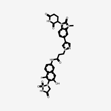 Cn1c(=O)n(C2CCC(=O)NC2=O)c2ccc(-c3cnn(CCC(=O)Nc4ccc5c(F)c(N6CC(=O)NS6(=O)=O)c(O)cc5c4)c3)cc21